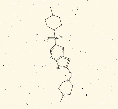 CC1CCN(S(=O)(=O)c2ccc3[nH]c(CN4CCN(C)CC4)cc3c2)CC1